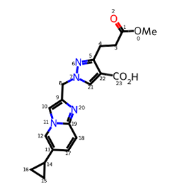 COC(=O)CCc1nn(Cc2cn3cc(C4CC4)ccc3n2)cc1C(=O)O